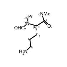 CNC(=O)[C@H](CCCN)N(C=O)C(C)C